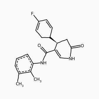 Cc1cccc(NC(=O)C2=CNC(=O)C[C@@H]2C2C=CC(F)=CC2)c1C